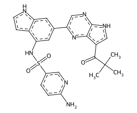 CC(C)(C)C(=O)c1c[nH]c2ncc(-c3cc(NS(=O)(=O)c4ccc(N)nc4)c4cc[nH]c4c3)nc12